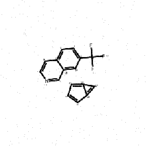 FC(F)(F)c1ccc2ccncc2c1.c1cc2cc-2c1